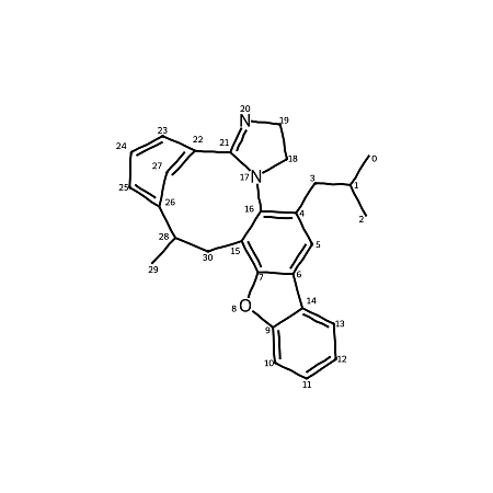 CC(C)Cc1cc2c(oc3ccccc32)c2c1N1CCN=C1c1cccc(c1)C(C)C2